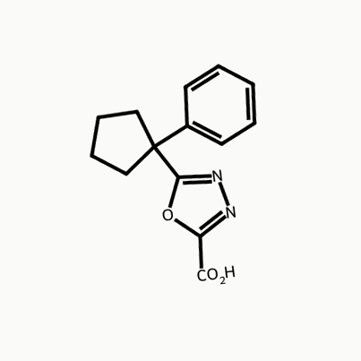 O=C(O)c1nnc(C2(c3ccccc3)CCCC2)o1